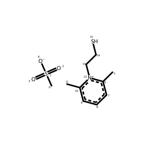 CS(=O)(=O)[O-].Cc1cccc(C)[n+]1CCS